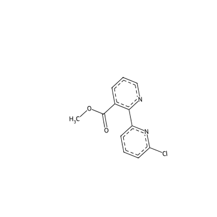 COC(=O)c1cccnc1-c1cccc(Cl)n1